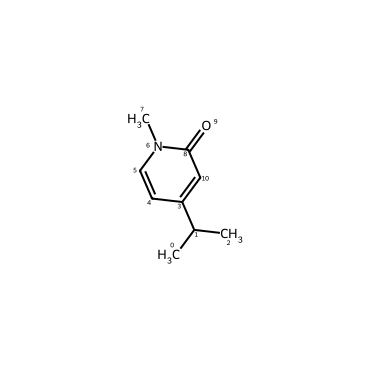 CC(C)c1ccn(C)c(=O)c1